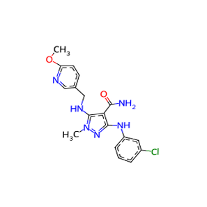 COc1ccc(CNc2c(C(N)=O)c(Nc3cccc(Cl)c3)nn2C)cn1